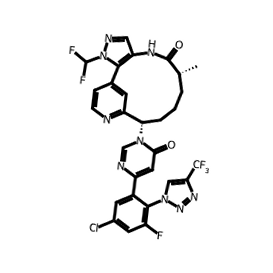 C[C@@H]1CCC[C@H](n2cnc(-c3cc(Cl)cc(F)c3-n3cc(C(F)(F)F)nn3)cc2=O)c2cc(ccn2)-c2c(cnn2C(F)F)NC1=O